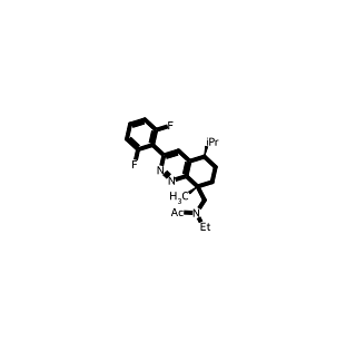 CCN(C[C@@]1(C)CC[C@H](C(C)C)c2cc(-c3c(F)cccc3F)nnc21)C(C)=O